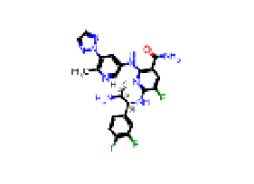 Cc1ncc(Nc2nc(N[C@H](c3ccc(F)c(F)c3)[C@H](C)N)c(F)cc2C(N)=O)cc1-n1nccn1